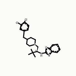 CC(C)(C)[C@@H](CN1CCC(Cc2ccc(Cl)c(Cl)c2)CC1)Nc1nc2ccccc2o1